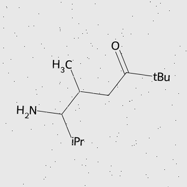 CC(C)C(N)C(C)CC(=O)C(C)(C)C